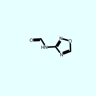 O=CNc1ncon1